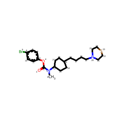 CN(C(=O)Oc1ccc(Br)cc1)C1CCC(CCCCN2CCSCC2)CC1